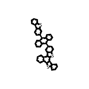 c1ccc2c(c1)sc1cc(-c3c4ccccc4c(-c4ccc5sc6c(c5c4)c4ccccc4c4sc5ccccc5c46)c4ccccc34)ccc12